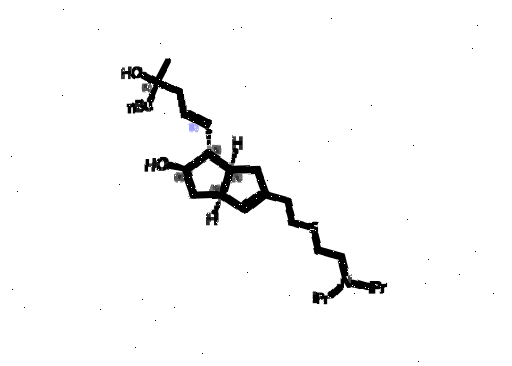 CCCC[C@](C)(O)C/C=C/[C@@H]1[C@H]2CC(CCSCCN(C(C)C)C(C)C)=C[C@H]2C[C@H]1O